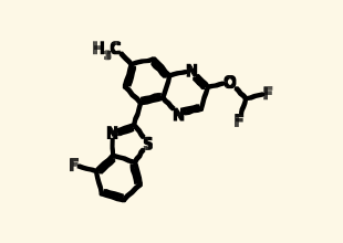 Cc1cc(-c2nc3c(F)cccc3s2)c2ncc(OC(F)F)nc2c1